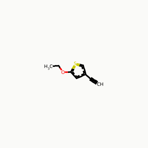 C#Cc1csc(OCC)c1